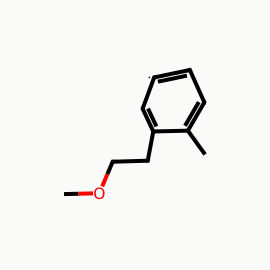 COCCc1c[c]ccc1C